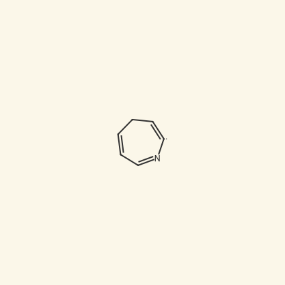 [C]1=CCC=CC=N1